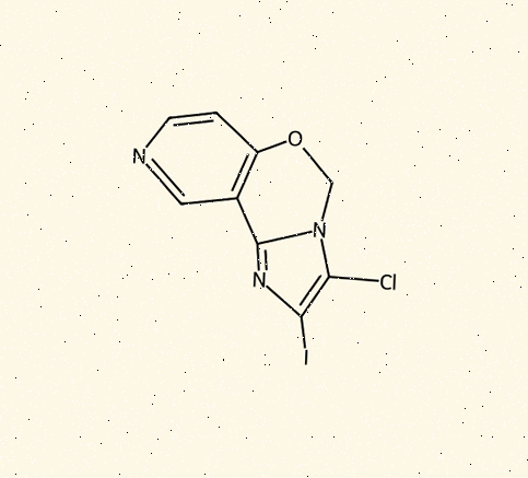 Clc1c(I)nc2n1COc1ccncc1-2